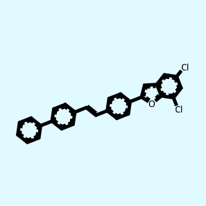 Clc1cc(Cl)c2oc(-c3ccc(C=Cc4ccc(-c5ccccc5)cc4)cc3)cc2c1